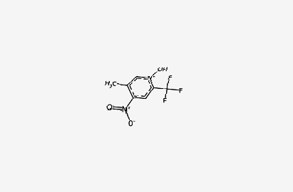 Cc1c[n+](O)c(C(F)(F)F)cc1[N+](=O)[O-]